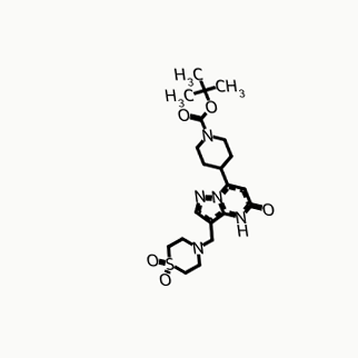 CC(C)(C)OC(=O)N1CCC(c2cc(=O)[nH]c3c(CN4CCS(=O)(=O)CC4)cnn23)CC1